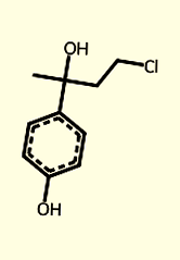 CC(O)(CCCl)c1ccc(O)cc1